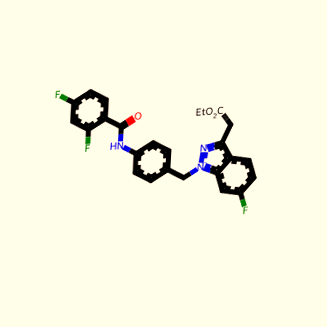 CCOC(=O)Cc1nn(Cc2ccc(NC(=O)c3ccc(F)cc3F)cc2)c2cc(F)ccc12